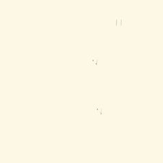 O=Cc1ccc2ccc3cccnc3c2n1